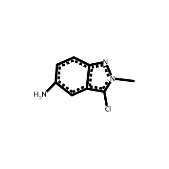 Cn1nc2ccc(N)cc2c1Cl